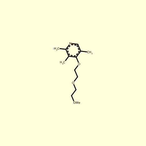 [CH2]c1ncc(C)c(OCCOCCOC)c1C